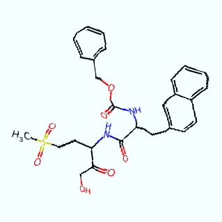 CS(=O)(=O)CCC(NC(=O)C(Cc1ccc2ccccc2c1)NC(=O)OCc1ccccc1)C(=O)CO